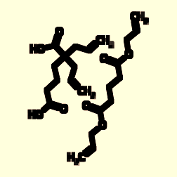 C=CCC(CC=C)(CCCC(=O)O)C(=O)O.C=CCOC(=O)CCCC(=O)OCC=C